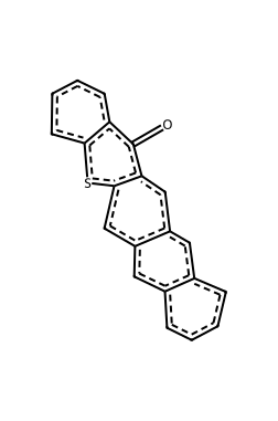 O=c1c2ccccc2sc2cc3cc4ccccc4cc3cc12